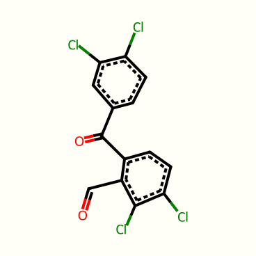 O=Cc1c(C(=O)c2ccc(Cl)c(Cl)c2)ccc(Cl)c1Cl